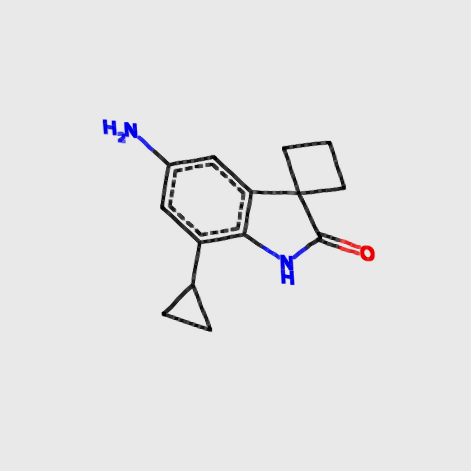 Nc1cc(C2CC2)c2c(c1)C1(CCC1)C(=O)N2